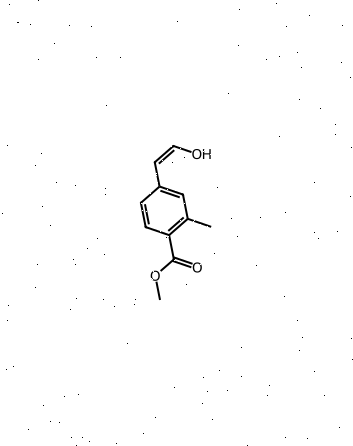 COC(=O)c1ccc(/C=C\O)cc1C